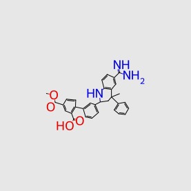 COC(=O)c1ccc(-c2cccc(C3CC(C)(c4ccccc4)c4cc(C(=N)N)ccc4N3)c2)c(C(=O)O)c1